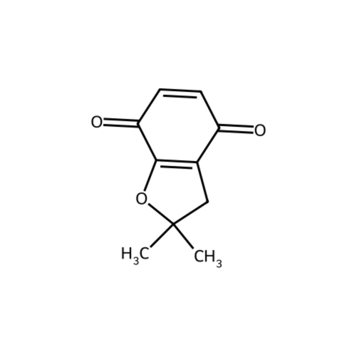 CC1(C)CC2=C(O1)C(=O)C=CC2=O